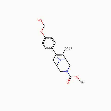 CCOC(=O)C1=C(c2ccc(OCO)cc2)CC2CN(C(=O)OC(C)(C)C)CC1N2C